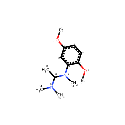 CCOc1ccc(OCC)c(N(C)C(C)N(C)C)c1